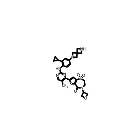 O=C1c2sc(-c3nc(Nc4ccc(N5CC6(CNC6)C5)cc4C4CC4)ncc3C(F)(F)F)cc2S(=O)(=O)CCN1C1COC1